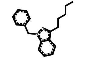 CCCCCc1nn(Cc2ccccc2)c2ccccc12